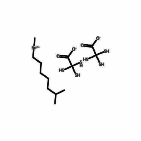 O=C([O-])C(S)(S)S.O=C([O-])C(S)(S)S.[CH3][Sn+2][CH2]CCCCC(C)C